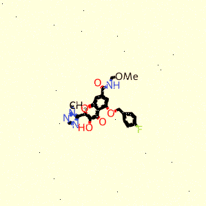 COCNC(=O)c1cc(OCc2ccc(F)cc2)c2c(=O)c(O)c(-c3ncnn3C)oc2c1